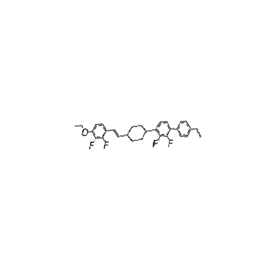 C=Cc1ccc(-c2ccc(C3CCC(/C=C/c4ccc(OCC)c(F)c4F)CC3)c(F)c2F)cc1